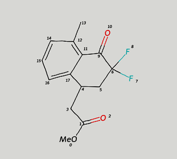 COC(=O)CC1CC(F)(F)C(=O)c2c(C)cccc21